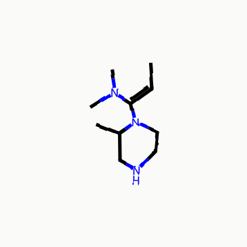 CC=C(N(C)C)N1CCNCC1C